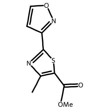 COC(=O)c1sc(-c2ccon2)nc1C